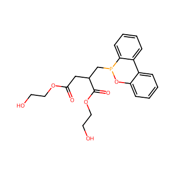 O=C(CC(CP1Oc2ccccc2-c2ccccc21)C(=O)OCCO)OCCO